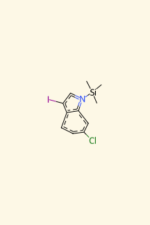 C[Si](C)(C)n1cc(I)c2ccc(Cl)cc21